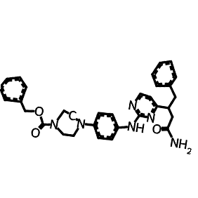 NC(=O)CC(Cc1ccccc1)c1ccnc(Nc2ccc(N3CCN(C(=O)OCc4ccccc4)CC3)cc2)n1